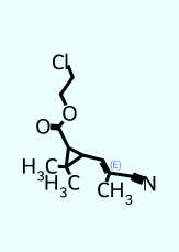 C/C(C#N)=C\C1C(C(=O)OCCCl)C1(C)C